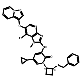 Cn1c(Nc2cc(C3CC3)cn([C@@H]3CC[C@@H]3OCc3ccccc3)c2=O)nc2ncc(Oc3cnn4ccccc34)c(Cl)c21